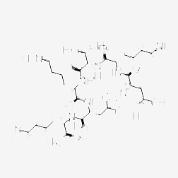 CC(C)C[C@H](NC(=O)[C@H](CCCCN)NC(=O)[C@@H](NC(=O)[C@H](CCCCN)NC(=O)[C@@H](N)CC(C)C)[C@@H](C)O)C(=O)N[C@@H](CCCCN)C(=O)O